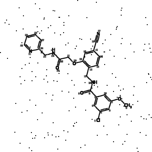 COc1cc(Cl)cc(C(=O)NCc2ccc(C#N)cc2OCC(=O)NCc2ccccn2)c1